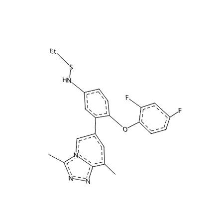 CCSNc1ccc(Oc2ccc(F)cc2F)c(-c2cc(C)c3nnc(C)n3c2)c1